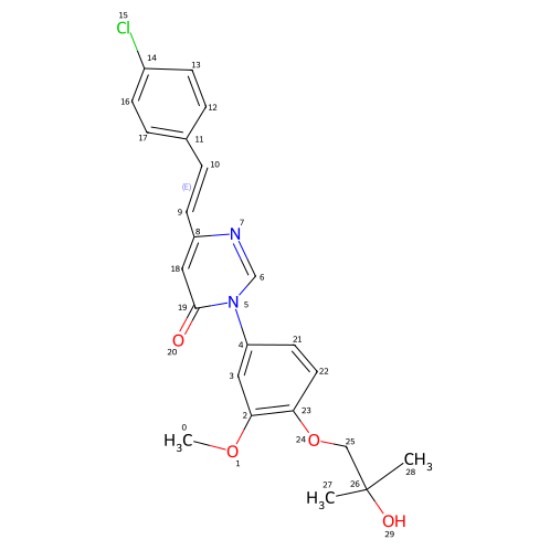 COc1cc(-n2cnc(/C=C/c3ccc(Cl)cc3)cc2=O)ccc1OCC(C)(C)O